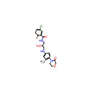 Cc1cc(NCC(O)CNC(=O)C2=CC(Cl)=CCC2=S)ccc1N1CCOCC1=O